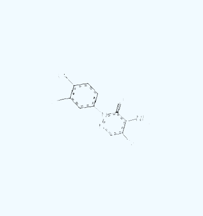 Nc1c(Br)cnn(-c2ccc(Cl)c(Cl)c2)c1=O